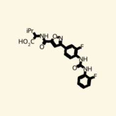 CC(C)C(NC(=O)c1cc(-c2ccc(NC(=O)Nc3ccccc3F)c(F)c2)no1)C(=O)O